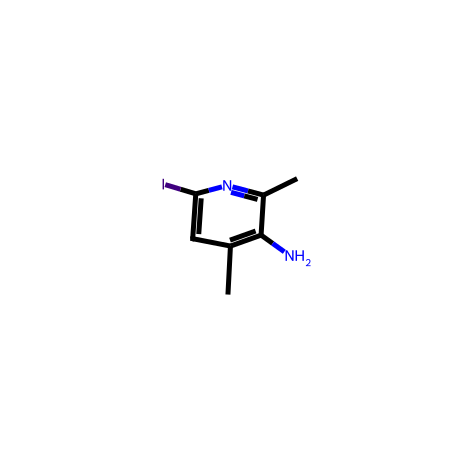 Cc1cc(I)nc(C)c1N